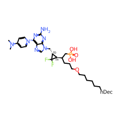 CCCCCCCCCCCCCCCCOCCCC(CP(=O)(O)O)[C@@H]1[C@@H](Cn2cnc3c(-[n+]4ccc(N(C)C)cc4)nc(N)nc32)C1(F)F